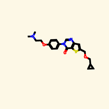 CN(C)CCOc1ccc(-n2cnc3cc(COCC4CC4)sc3c2=O)cc1